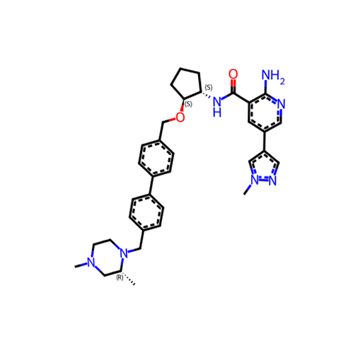 C[C@@H]1CN(C)CCN1Cc1ccc(-c2ccc(CO[C@H]3CCC[C@@H]3NC(=O)c3cc(-c4cnn(C)c4)cnc3N)cc2)cc1